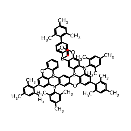 Cc1cc(C)c(-c2cc3c4c(c2)Oc2cc5c(cc2B4c2ccccc2O3)B2c3cc4c(cc3Oc3cc(-c6c(C)cc(C)cc6C)cc(c32)N5c2c(C)cc(C)cc2C)N(c2c(C)cc(C)cc2C)c2cc(-c3c(C)cc(C)cc3C)cc3c2B4c2ccccc2O3)c(C)c1